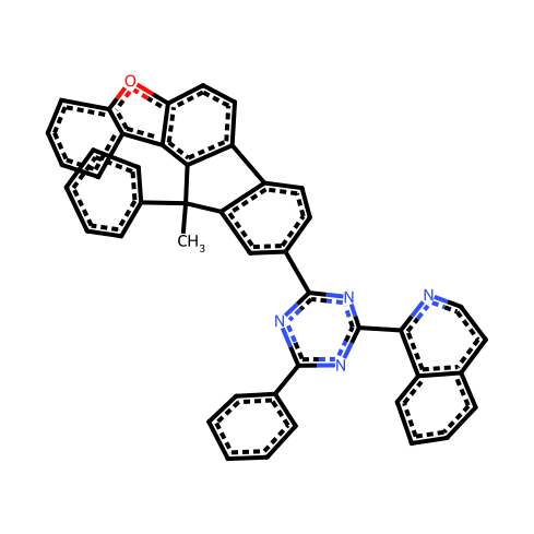 CC1(c2ccccc2)c2cc(-c3nc(-c4ccccc4)nc(-c4nccc5ccccc45)n3)ccc2-c2ccc3oc4ccccc4c3c21